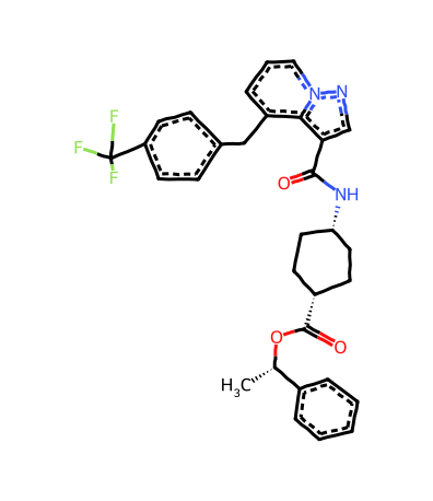 C[C@H](OC(=O)[C@H]1CC[C@@H](NC(=O)c2cnn3cccc(Cc4ccc(C(F)(F)F)cc4)c23)CC1)c1ccccc1